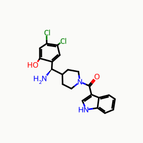 N[C@@H](c1cc(Cl)c(Cl)cc1O)C1CCN(C(=O)c2c[nH]c3ccccc23)CC1